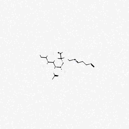 C=CCC/C=C/COC1(C(=O)O)CC(O)C(NC(C)=O)C(C(O)C(O)CO)O1